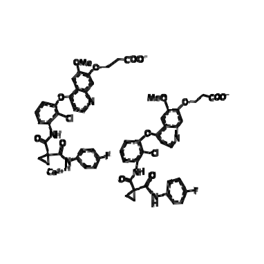 COc1cc2c(Oc3cccc(NC(=O)C4(C(=O)Nc5ccc(F)cc5)CC4)c3Cl)ccnc2cc1OCCC(=O)[O-].COc1cc2c(Oc3cccc(NC(=O)C4(C(=O)Nc5ccc(F)cc5)CC4)c3Cl)ccnc2cc1OCCC(=O)[O-].[Ca+2]